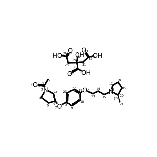 CC(=O)N1CCC(Oc2ccc(OCCCN3CCC[C@H]3C)cc2)C1.O=C(O)CC(O)(CC(=O)O)C(=O)O